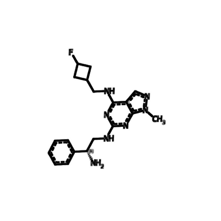 Cn1ncc2c(NCC3CC(F)C3)nc(NC[C@H](N)c3ccccc3)nc21